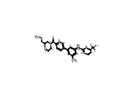 COCC1CN(C(=O)c2ccc(-c3cc(C)cc(Nc4nccc(C(F)(F)F)n4)c3)cn2)CCO1